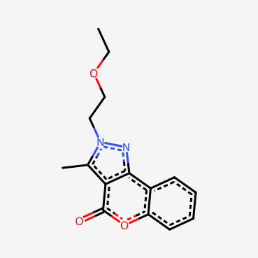 CCOCCn1nc2c(c1C)c(=O)oc1ccccc12